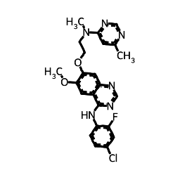 COc1cc2c(Nc3ccc(Cl)cc3F)ncnc2cc1OCCN(C)c1cc(C)ncn1